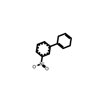 O=[N+]([O-])c1cccc(C2=CCC=CC2)c1